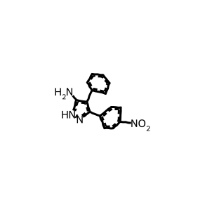 Nc1[nH]nc(-c2ccc([N+](=O)[O-])cc2)c1-c1ccccc1